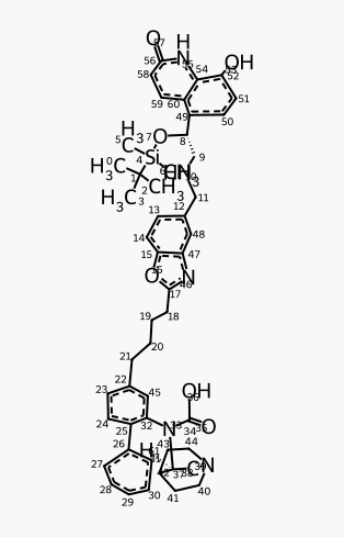 CC(C)(C)[Si](C)(C)O[C@@H](CNCc1ccc2oc(CCCCc3ccc(-c4ccccc4)c(N(C(=O)O)[C@H]4CN5CCC4CC5)c3)nc2c1)c1ccc(O)c2[nH]c(=O)ccc12